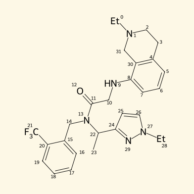 CCN1CCc2cccc(NCC(=O)N(Cc3ccccc3C(F)(F)F)C(C)c3ccn(CC)n3)c2C1